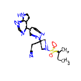 CCC(C)S(=O)(=O)N1CC(CC#N)(n2cc(-c3ncnc4[nH]ccc34)cn2)C1